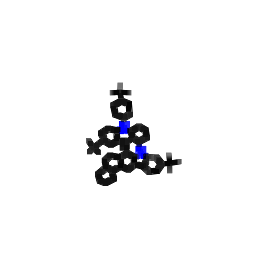 CC(C)(C)c1ccc(N2c3ccc(C(C)(C)C)cc3B3c4c2cccc4-n2c4cc(C(C)(C)C)ccc4c4cc5c(ccc6ccccc65)c3c42)cc1